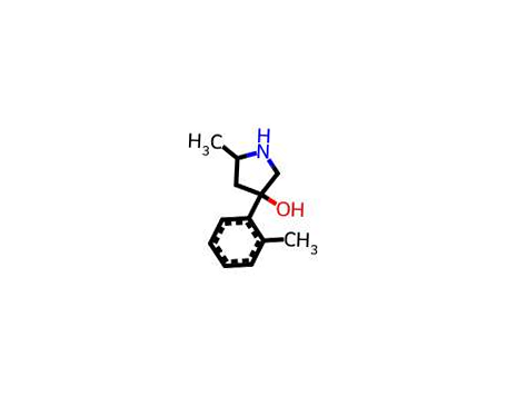 Cc1ccccc1C1(O)CNC(C)C1